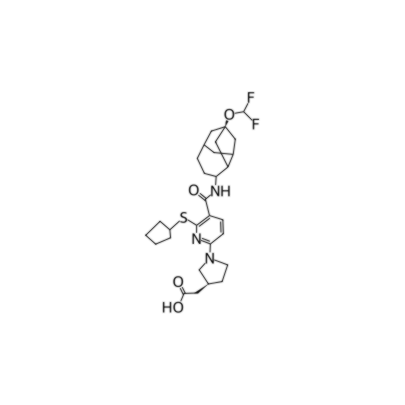 O=C(O)C[C@@H]1CCN(c2ccc(C(=O)NC3CCC4CC5C[C@@](OC(F)F)(C4)CC53)c(SC3CCCC3)n2)C1